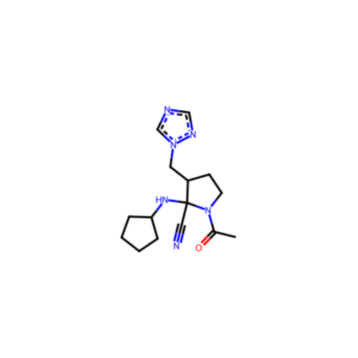 CC(=O)N1CCC(Cn2cncn2)C1(C#N)NC1CCCC1